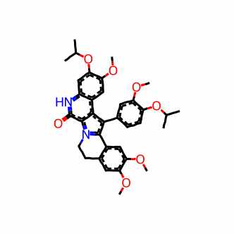 COc1cc2c(cc1OC)-c1c(-c3ccc(OC(C)C)c(OC)c3)c3c4cc(OC)c(OC(C)C)cc4[nH]c(=O)c3n1CC2